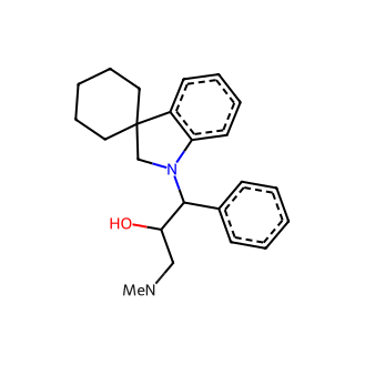 CNCC(O)C(c1ccccc1)N1CC2(CCCCC2)c2ccccc21